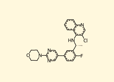 C[C@@H](Nc1c(Cl)cnc2ccccc12)c1cc(-c2cnc(N3CCOCC3)nc2)ccc1F